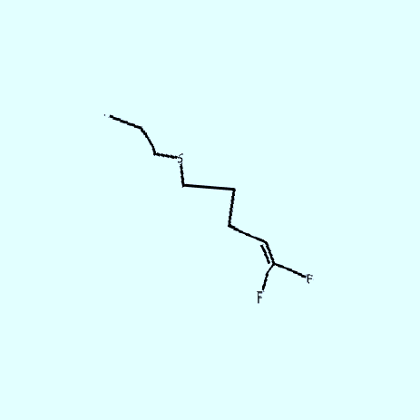 [CH2]CCSCCCC=C(F)F